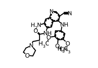 COc1cc(Nc2c(C#N)cnc3cc(N)c(NC(=O)CCN4CCOCC4)cc23)cc(OC)c1OC